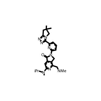 CNCc1nc(N(C)C(C)C)cc2c1CN(c1cccc(-c3nnc4n3CC(C)(C)C4)n1)C2=O